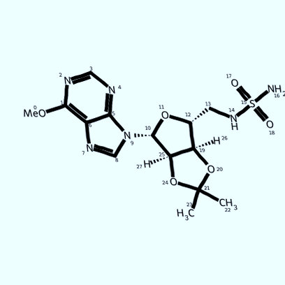 COc1ncnc2c1ncn2[C@@H]1O[C@H](CNS(N)(=O)=O)[C@H]2OC(C)(C)O[C@H]21